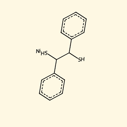 SC(c1ccccc1)C(S)c1ccccc1.[Ni]